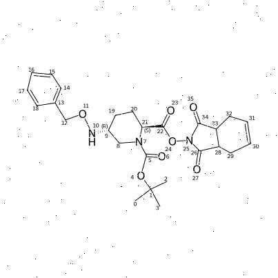 CC(C)(C)OC(=O)N1C[C@H](NOCc2ccccc2)CC[C@H]1C(=O)ON1C(=O)C2CC=CCC2C1=O